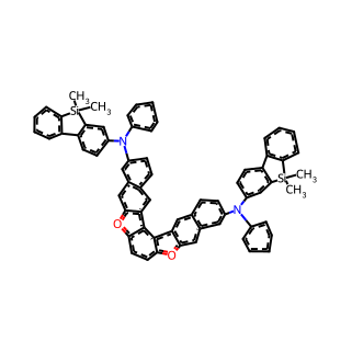 C[Si]1(C)c2ccccc2-c2ccc(N(c3ccccc3)c3ccc4cc5c(cc4c3)oc3ccc4oc6cc7cc(N(c8ccccc8)c8ccc9c(c8)[Si](C)(C)c8ccccc8-9)ccc7cc6c4c35)cc21